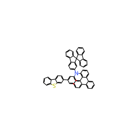 c1cc(-c2ccc3c(c2)sc2ccccc23)cc(N(c2ccc3c(c2)C2(c4ccccc4-c4ccccc42)c2ccccc2-3)c2cccc3c4ccccc4c4ccccc4c23)c1